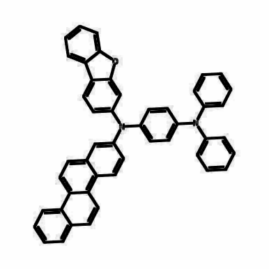 c1ccc(N(c2ccccc2)c2ccc(N(c3ccc4c(ccc5c6ccccc6ccc45)c3)c3ccc4c(c3)oc3ccccc34)cc2)cc1